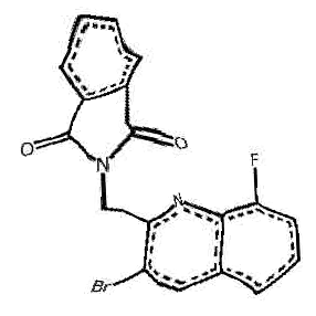 O=C1c2ccccc2C(=O)N1Cc1nc2c(F)cccc2cc1Br